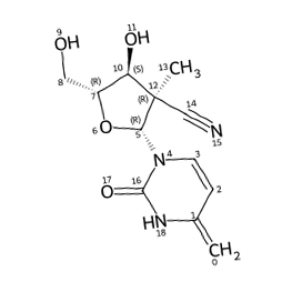 C=C1C=CN([C@@H]2O[C@H](CO)[C@@H](O)[C@@]2(C)C#N)C(=O)N1